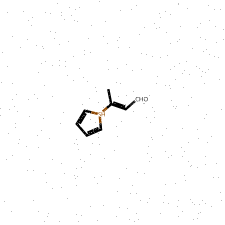 C/C(=C\C=O)[SH]1C=CC=C1